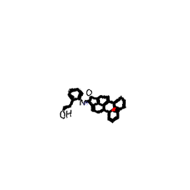 O=C1/C(=N\c2ccccc2CCO)c2ccc(-c3ccccc3)c3c(-c4ccccc4)ccc1c23